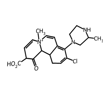 CC1CN(C2=C3C=C[N+]4(C)C=CC(C(=O)O)C(=O)C4C3CC=C2Cl)CCN1